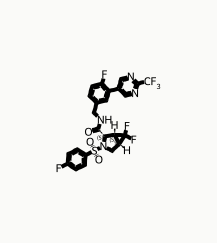 O=C(NCc1ccc(F)c(-c2cnc(C(F)(F)F)nc2)c1)[C@@H]1[C@@H]2[C@H](CN1S(=O)(=O)c1ccc(F)cc1)C2(F)F